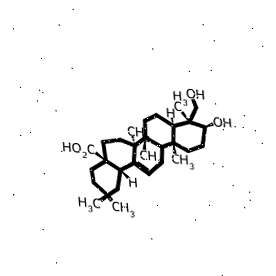 CC1(C)CC[C@]2(C(=O)O)CC[C@]3(C)C(=CCC4[C@@]5(C)CC[C@H](O)[C@@](C)(CO)[C@@H]5CC[C@]43C)[C@@H]2C1